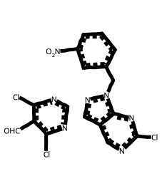 O=Cc1c(Cl)ncnc1Cl.O=[N+]([O-])c1cccc(Cn2ncc3cnc(Cl)nc32)c1